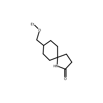 CCOCC1CCC2(CCC(=O)N2)CC1